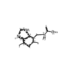 C=C(NCc1c(C)cc(C)c2nc[nH]c12)C(C)(C)C